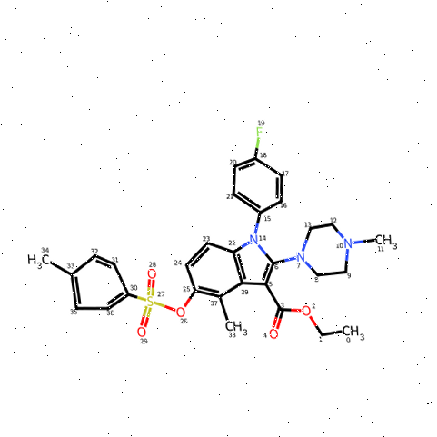 CCOC(=O)c1c(N2CCN(C)CC2)n(-c2ccc(F)cc2)c2ccc(OS(=O)(=O)c3ccc(C)cc3)c(C)c12